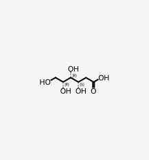 O=C(O)C[C@H](O)[C@@H](O)[C@H](O)CO